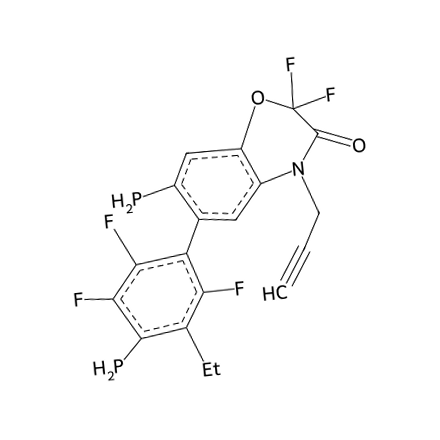 C#CCN1C(=O)C(F)(F)Oc2cc(P)c(-c3c(F)c(F)c(P)c(CC)c3F)cc21